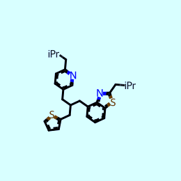 CC(C)Cc1ccc(CC(Cc2cccs2)Cc2cccc3sc(CC(C)C)nc23)cn1